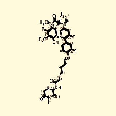 CN(C(=O)C(C)(C)N(C=S)c1cnc(-c2ccc(OCCCCOCC(=O)NC3CCC(=O)NC3=O)c(F)c2)c(F)c1)c1ccc(C#N)c(C(F)(F)F)c1F